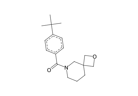 CC(C)(C)c1ccc(C(=O)N2CCCC3(COC3)C2)cc1